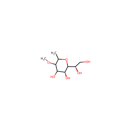 COC1C(C)OC([C@H](O)CO)[C@@H](O)C1O